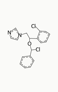 Clc1ccccc1C(Cn1ccnc1)OC(Cl)c1ccccc1